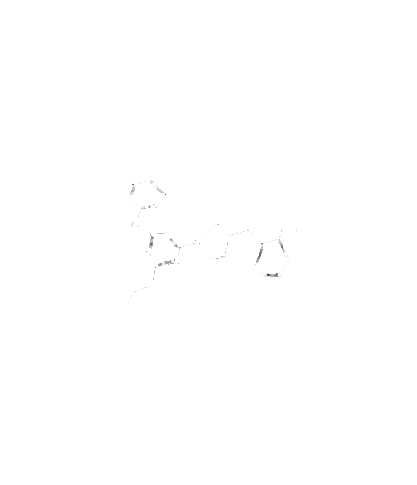 Cc1ccccc1CN1CCN(c2nc(Nc3cccc(C(F)(F)F)c3)nc(OCC(F)(F)F)n2)CC1